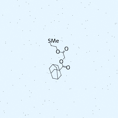 CSCCOC(=O)COC(=O)C12CC3CC(CC(C3)C1)C2